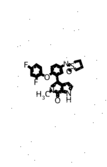 Cn1cc(-c2cc(N=S3(=O)CCCC3)ccc2Oc2ccc(F)cc2F)c2cc[nH]c2c1=O